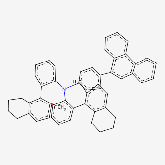 Cc1ccc2c(c1-c1ccccc1N(c1ccc(-c3cc4ccccc4c4ccccc34)cc1)c1ccccc1-c1c(C)ccc3c1CCCC3)CCCC2